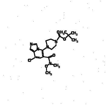 CON(C)C(=O)c1cc(Cl)c2cncn2c1N1CCN(C(=O)OC(C)(C)C)CC1